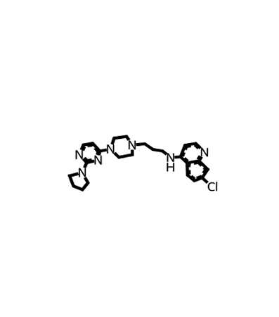 Clc1ccc2c(NCCCN3CCN(c4ccnc(N5CCCC5)n4)CC3)ccnc2c1